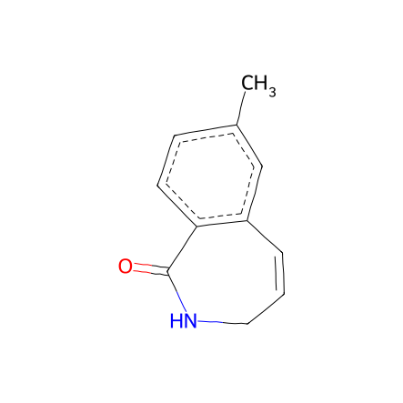 Cc1ccc2c(c1)C=CCNC2=O